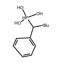 CC(C)(C)C(c1ccccc1)[PH](O)(O)O